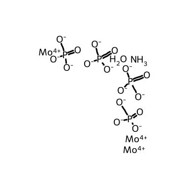 N.O.O=P([O-])([O-])[O-].O=P([O-])([O-])[O-].O=P([O-])([O-])[O-].O=P([O-])([O-])[O-].[Mo+4].[Mo+4].[Mo+4]